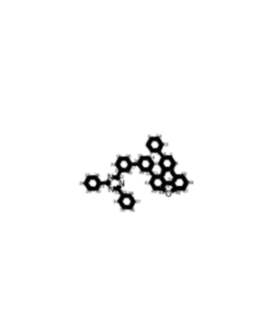 c1ccc(-c2ccc3c(c2)c2c(-c4cccc(-c5cccc(-c6nc(-c7ccccc7)nc(-c7ccccc7)n6)c5)c4)ccc4oc5cccc3c5c42)cc1